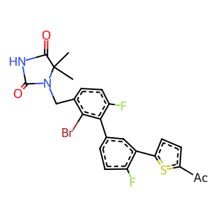 CC(=O)c1ccc(-c2cc(-c3c(F)ccc(CN4C(=O)NC(=O)C4(C)C)c3Br)ccc2F)s1